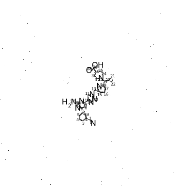 N#Cc1cccc(-c2cc(-c3cn(Cc4cccc(C(C5CC5)N5CCC(C(=O)O)CC5)n4)nn3)nc(N)n2)c1